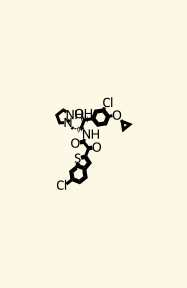 O=C(N[C@H](CN1CCCN1)[C@H](O)c1ccc(OC2CC2)c(Cl)c1)C(=O)c1cc2ccc(Cl)cc2s1